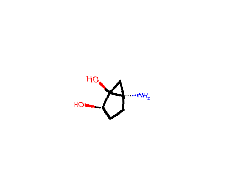 N[C@]12CC[C@@H](O)C1(O)C2